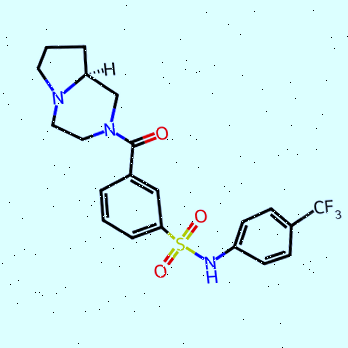 O=C(c1cccc(S(=O)(=O)Nc2ccc(C(F)(F)F)cc2)c1)N1CCN2CCC[C@H]2C1